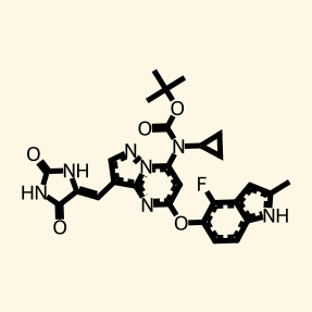 Cc1cc2c(F)c(Oc3cc(N(C(=O)OC(C)(C)C)C4CC4)n4ncc(/C=C5\NC(=O)NC5=O)c4n3)ccc2[nH]1